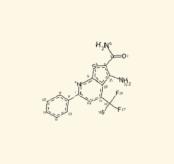 NC(=O)c1sc2nc(-c3ccccc3)cc(C(F)(F)F)c2c1N